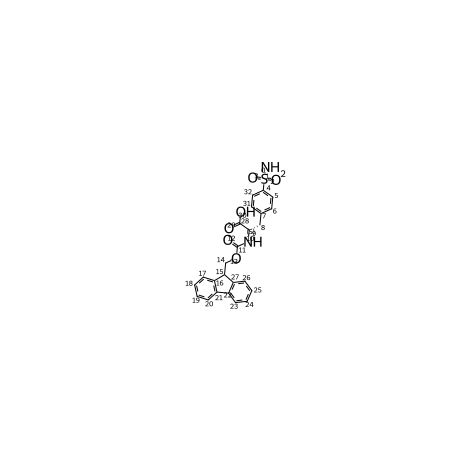 NS(=O)(=O)c1ccc(C[C@H](NC(=O)OCC2c3ccccc3-c3ccccc32)C(=O)O)cc1